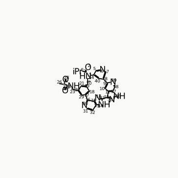 CC(C)C(=O)Nc1cncc(-c2cc3c(-c4nc5c(-c6cc(F)cc(CNS(C)(=O)=O)c6)nccc5[nH]4)n[nH]c3cn2)c1